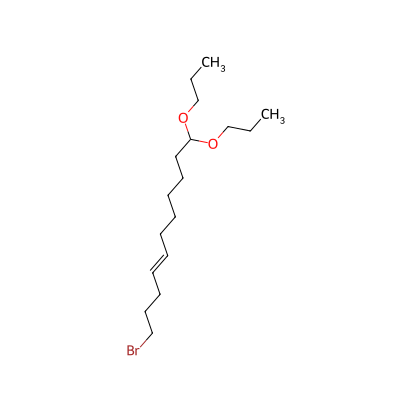 CCCOC(CCCCC/C=C/CCCBr)OCCC